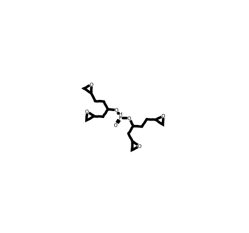 O=[PH](OC(CCC1CO1)CC1CO1)OC(CCC1CO1)CC1CO1